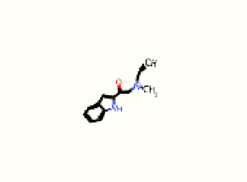 C#CCN(C)CC(=O)c1cc2ccccc2[nH]1